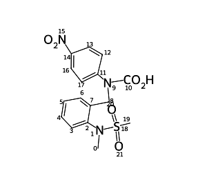 CN(c1ccccc1CN(C(=O)O)c1ccc([N+](=O)[O-])cc1)S(C)(=O)=O